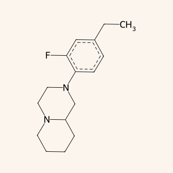 CCc1ccc(N2CCN3CCCCC3C2)c(F)c1